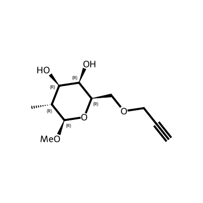 C#CCOC[C@H]1O[C@@H](OC)[C@H](C)[C@@H](O)[C@H]1O